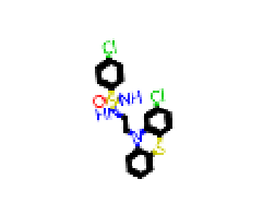 N=S(=O)(NCCN1c2ccccc2Sc2ccc(Cl)cc21)c1ccc(Cl)cc1